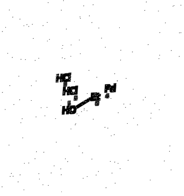 CCO.Cl.Cl.[Pd]